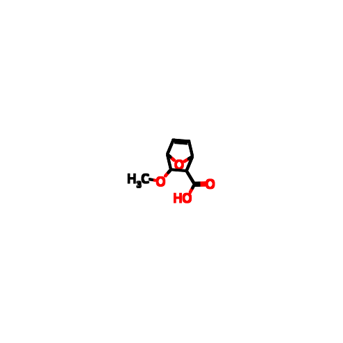 COC1C2C=CC(O2)C1C(=O)O